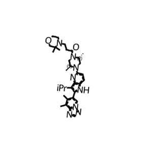 Cc1c(-c2[nH]c3ccc(N4C[C@@H](C)N(C(=O)CCN5CCOCC5(C)C)C[C@@H]4C)nc3c2C(C)C)cn2ncnc2c1C